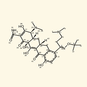 CN(C)CC/C(=N\OC(C)(C)C)c1ccc(O)c2c1C[C@H]1C[C@H]3[C@H](N(C)C)C(O)=C(C(N)=O)C(=O)[C@@]3(O)C(O)=C1C2=O